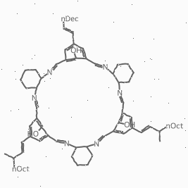 CCCCCCCCCC/C=C/c1cc2c(O)c(c1)/C=N/C1CCCCC1/N=C/c1cc(/C=C/C(C)CCCCCCCC)cc(c1O)/C=N/C1CCCCC1/N=C/c1cc(/C=C/C(C)CCCCCCCC)cc(c1O)/C=N/C1CCCCC1/N=C/2